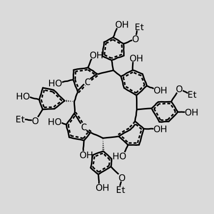 CCOc1cc(C2c3cc(c(O)cc3O)C(c3ccc(O)c(OCC)c3)c3cc(c(O)cc3O)[C@H](c3ccc(O)c(OCC)c3)c3cc(c(O)cc3O)[C@H](c3ccc(O)c(OCC)c3)c3cc2c(O)cc3O)ccc1O